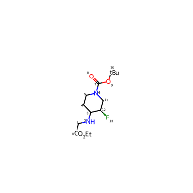 CCOC(=O)CNC1CCN(C(=O)OC(C)(C)C)C[C@H]1F